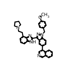 COc1ccc(Cn2nc(-c3nc4c(CCN5CCCC5)cccc4[nH]3)c3cc(-c4cncc5ccccc45)ccc32)cc1